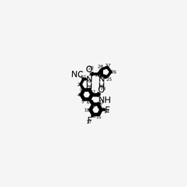 N#CC(Cc1ccc2c(c1)c(=O)[nH]c1c(F)cc(F)cc12)NC(=O)C1NC2CCC1C2